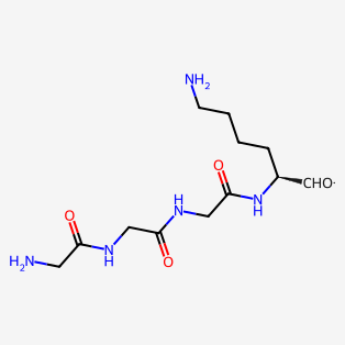 NCCCC[C@@H]([C]=O)NC(=O)CNC(=O)CNC(=O)CN